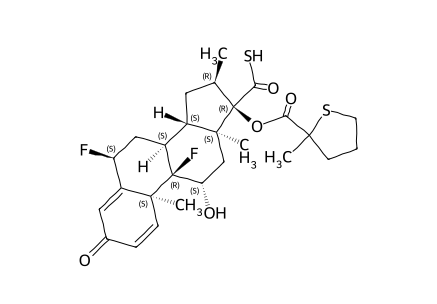 C[C@@H]1C[C@H]2[C@@H]3C[C@H](F)C4=CC(=O)C=C[C@]4(C)[C@@]3(F)[C@@H](O)C[C@]2(C)[C@@]1(OC(=O)C1(C)CCCS1)C(=O)S